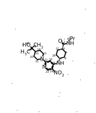 CC(C)NC(=O)[C@H]1CC[C@@H](Nc2cc(N3CCC(C(C)(C)O)CC3)ncc2[N+](=O)[O-])CC1